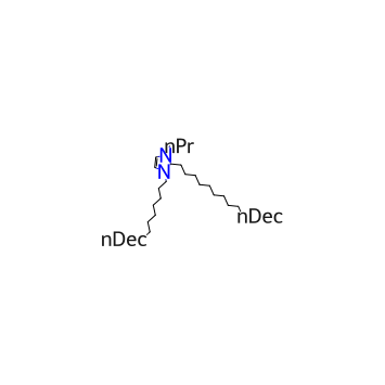 CCCCCCCCCCCCCCCCCCCC1N(CCC)C=CN1CCCCCCCCCCCCCCCCC